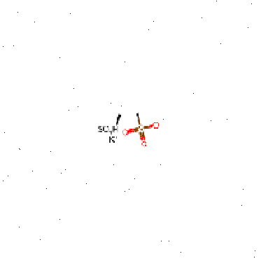 CS(=O)(=O)O.CS(=O)(=O)[O-].[K+]